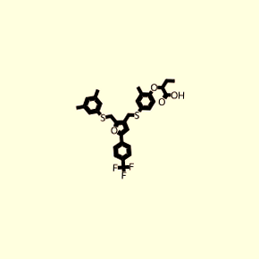 CCC(Oc1ccc(SCc2cc(-c3ccc(C(F)(F)F)cc3)oc2CSc2cc(C)cc(C)c2)cc1C)C(=O)O